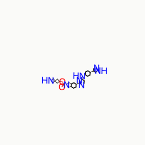 O=C(OC1CC2(CNC2)C1)N1Cc2ccc(-c3nccc(Nc4ccc(-c5cn[nH]c5)cc4)n3)cc2C1